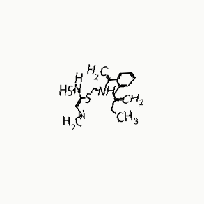 C=N/C=C(/NS)SCNC(=C)c1ccccc1CC(=C)CC